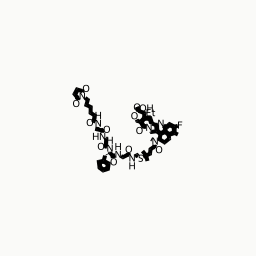 CC[C@@]1(O)C(=O)OCc2c1cc1n(c2=O)Cc2c-1nc1cc(F)c(C)c3c1c2[C@@H](N(C)C(=O)CCC(C)(C)SCNC(=O)CNC(=O)[C@H](Cc1ccccc1)NC(=O)CNC(=O)CNC(=O)CCCCCN1C(=O)C=CC1=O)CC3